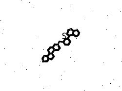 c1ccc2c(c1)ccc1c3ccc(Cc4cccc5c4sc4ccc6ccccc6c45)cc3ccc21